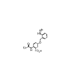 CCCNc1ccccc1COc1ccc(NC(=O)CC)c(C(=O)O)c1